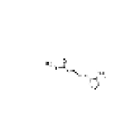 COC(=O)CCCSC1CCCC1N